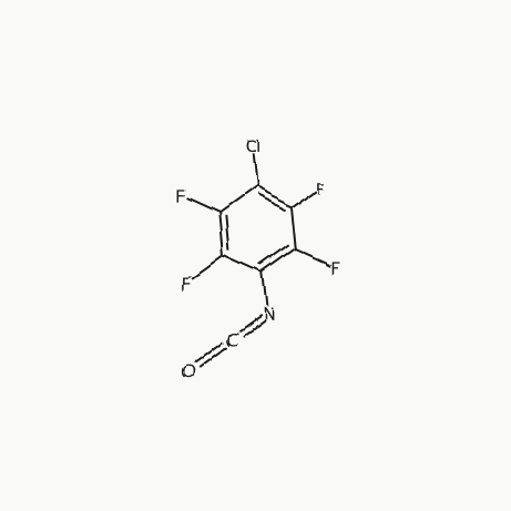 O=C=Nc1c(F)c(F)c(Cl)c(F)c1F